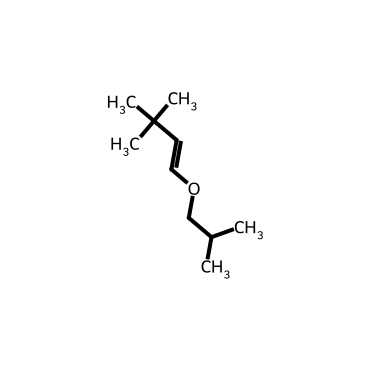 CC(C)COC=CC(C)(C)C